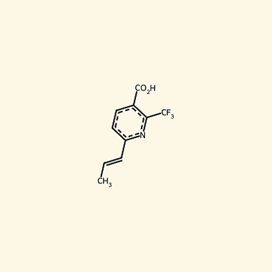 CC=Cc1ccc(C(=O)O)c(C(F)(F)F)n1